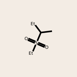 [CH2]CS(=O)(=O)C(C)CC